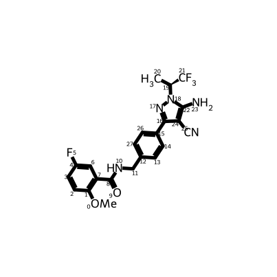 COc1ccc(F)cc1C(=O)NCc1ccc(-c2nn([C@@H](C)C(F)(F)F)c(N)c2C#N)cc1